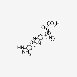 CN(CC(C)(C(=O)N1CCCC1)c1ccc2c(c1)nc(Cc1ccc(C(=N)N)cc1)c(=O)n2C)C(=O)CC(=O)O